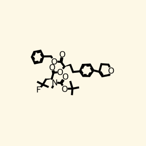 CN(C(=O)OC(C)(C)C)[C@@H](CC(C)(C)F)C(=O)O[C@H](CCc1ccc(C2=CCOCC2)cc1)C(=O)OCc1ccccc1